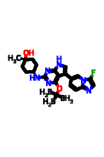 BC(B)(B)Oc1nc(N[C@H]2CC[C@@](C)(O)CC2)nc2[nH]cc(-c3ccc4ncc(F)n4c3)c12